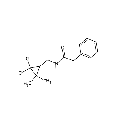 CC1(C)C(CNC(=O)Cc2ccccc2)C1(Cl)Cl